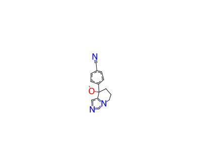 COC1(c2ccc(C#N)cc2)CCCn2cncc21